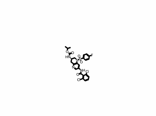 CC(C)OC(=O)N[C@@H]1Cc2ncc(NC(=O)c3c(Cl)cccc3Cl)cc2N(S(=O)(=O)c2ccc(F)cc2)C1